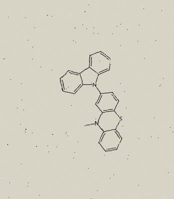 CN1c2ccccc2Sc2ccc(-n3c4ccccc4c4ccccc43)cc21